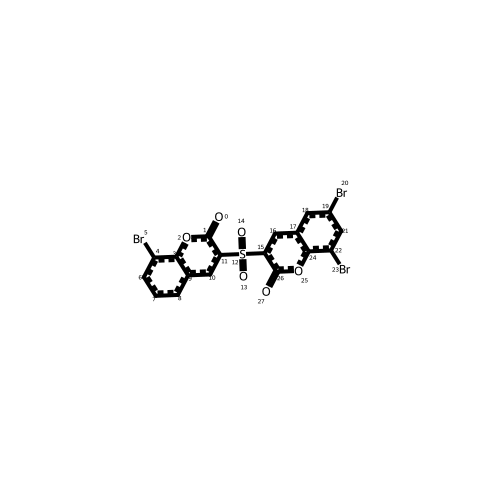 O=c1oc2c(Br)cccc2cc1S(=O)(=O)c1cc2cc(Br)cc(Br)c2oc1=O